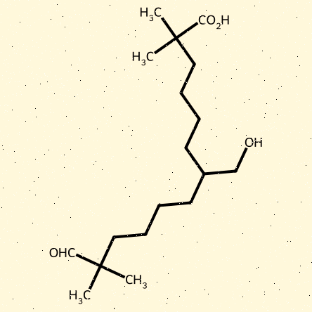 CC(C)(C=O)CCCCC(CO)CCCCC(C)(C)C(=O)O